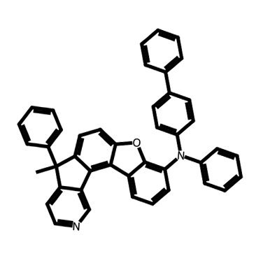 CC1(c2ccccc2)c2ccncc2-c2c1ccc1oc3c(N(c4ccccc4)c4ccc(-c5ccccc5)cc4)cccc3c21